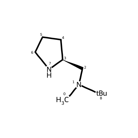 CN(C[C@@H]1CCCN1)C(C)(C)C